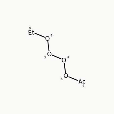 CCOOOOC(C)=O